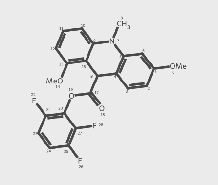 COc1ccc2c(c1)N(C)c1cccc(OC)c1C2C(=O)Oc1c(F)ccc(F)c1F